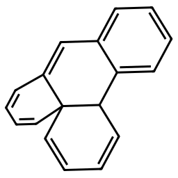 C1=CC2=Cc3ccccc3C3C=CC=CC23C=C1